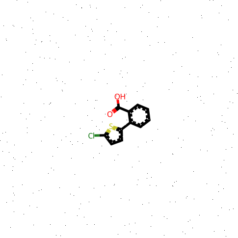 O=C(O)c1ccccc1-c1ccc(Cl)s1